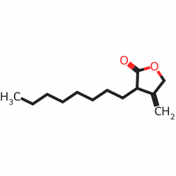 C=C1COC(=O)C1CCCCCCCC